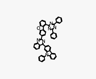 c1ccc(-c2nc(-c3ccccc3)nc(-c3cccc4oc5cc(-c6nc(-c7ccc8c9ccccc9n(-c9ccccc9)c8c7)c7ccccc7n6)ccc5c34)n2)cc1